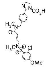 COc1ccc(S(=O)(=O)N(C)C/C=C/C(=O)N(C)Cc2ccc(C3=NCCN3C(=O)O)cc2)c(Cl)c1